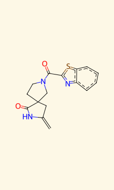 C=C1CC2(CCN(C(=O)c3nc4ccccc4s3)C2)C(=O)N1